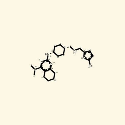 CCc1ccc(CNC[C@H]2CC[C@@H](Nc3nc4c(c(N(C)C)n3)CCCC4)CC2)s1